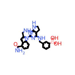 NCc1cc2c(C(N)=O)cccc2n1-c1nc2c(c(NCc3cccc(B(O)O)c3)n1)CCN2